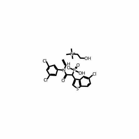 C=CN(C(=O)C(c1csc2ccc(Cl)cc12)P(=O)(O)O)c1cc(Cl)cc(Cl)c1.C[N+](C)(C)CCO